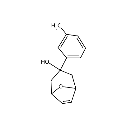 Cc1cccc(C2(O)CC3C=CC(C2)O3)c1